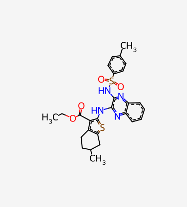 CCOC(=O)c1c(Nc2nc3ccccc3nc2NS(=O)(=O)c2ccc(C)cc2)sc2c1CCC(C)C2